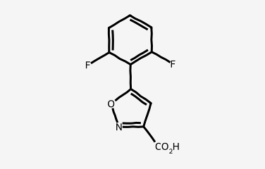 O=C(O)c1cc(-c2c(F)cccc2F)on1